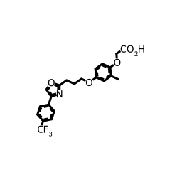 Cc1cc(OCCCc2nc(-c3ccc(C(F)(F)F)cc3)co2)ccc1OCC(=O)O